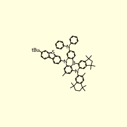 Cc1cc2c3c(c1)N(c1cc4c(cc1C)C(C)(C)CCC4(C)C)c1cc4c(cc1B3c1ccc(N(c3ccccc3)c3ccccc3)cc1N2c1ccc2c(c1)sc1cc(C(C)(C)C)ccc12)C(C)(C)CC4(C)C